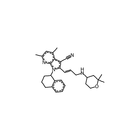 Cc1cc(C)c2c(C#N)c(/C=C/CNC3CCOC(C)(C)C3)n(C3CCCc4ccccc43)c2n1